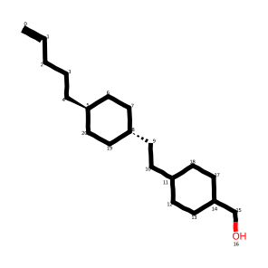 C=CCCC[C@H]1CC[C@H](CCC2CCC(CO)CC2)CC1